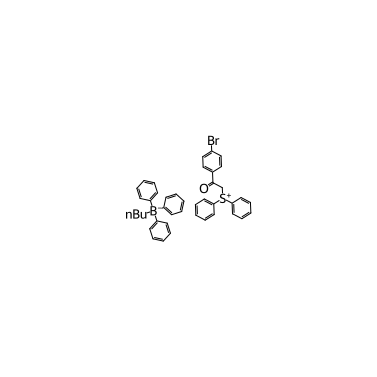 CCCC[B-](c1ccccc1)(c1ccccc1)c1ccccc1.O=C(C[S+](c1ccccc1)c1ccccc1)c1ccc(Br)cc1